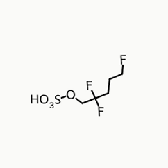 O=S(=O)(O)OCC(F)(F)CCCF